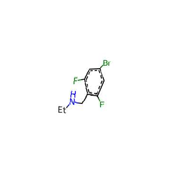 [CH2]CNCc1c(F)cc(Br)cc1F